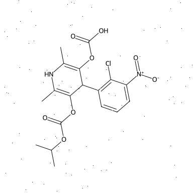 CC1=C(OC(=O)O)C(c2cccc([N+](=O)[O-])c2Cl)C(OC(=O)OC(C)C)=C(C)N1